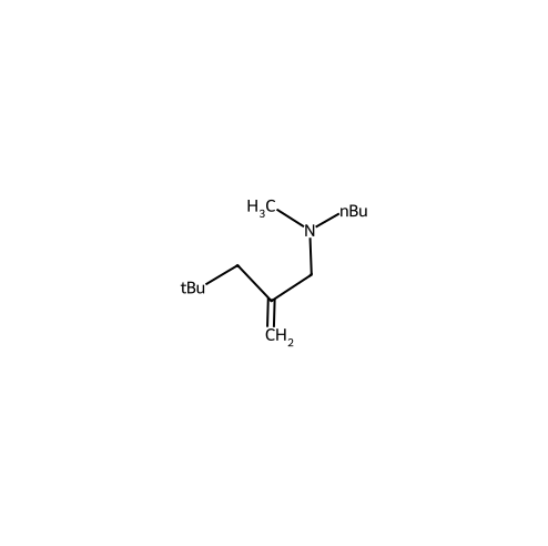 C=C(CN(C)CCCC)CC(C)(C)C